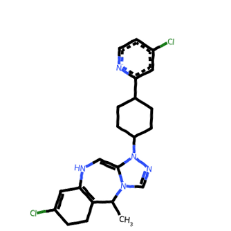 CC1C2=C(C=C(Cl)CC2)NC=C2N1C=NN2C1CCC(c2cc(Cl)ccn2)CC1